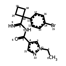 CCn1cc(C(=O)NC(=N)C2(c3ccc(Br)cc3)CCC2)cn1